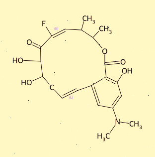 CC1/C=C(/F)C(=O)C(O)C(O)C/C=C/c2cc(N(C)C)cc(O)c2C(=O)OC1C